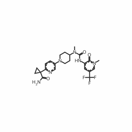 CN(C(=O)Nc1cc(C(F)(F)F)cn(C)c1=O)C1CCN(c2ccc(C3(C(N)=O)CC3)nc2)CC1